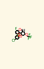 O=S(=O)(c1ccc(Cl)cc1)[C@@]12CC[C@@H](OCC(F)(F)F)C[C@@H]1COc1c(F)ccc(F)c12